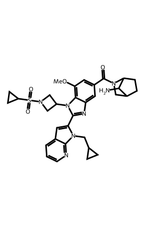 COc1cc(C(=O)N2CC3CCC2C3N)cc2nc(-c3cc4cccnc4n3CC3CC3)n(C3CN(S(=O)(=O)C4CC4)C3)c12